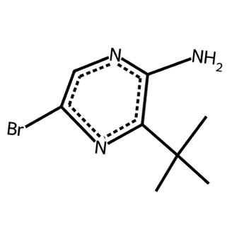 CC(C)(C)c1nc(Br)cnc1N